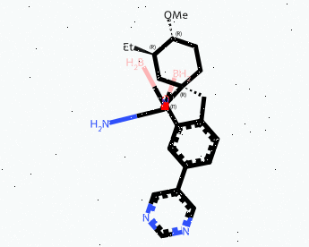 BC1(B)OC(N)=N[C@]12c1cc(-c3cncnc3)ccc1C[C@]21CC[C@@H](OC)[C@H](CC)C1